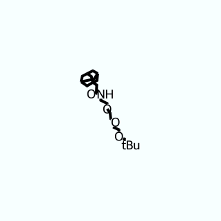 CC(C)(C)COCCOCCOCCNC(=O)CC12CC3CC(CC(C3)C1)C2